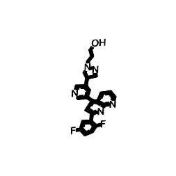 OCCCN1CC(c2cncc(-c3cc(-c4cc(F)ccc4F)nc4ncccc34)c2)C=N1